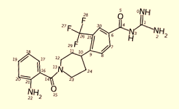 N=C(N)NC(=O)c1ccc(C2CCN(C(=O)c3ccccc3N)CC2)c(C(F)(F)F)c1